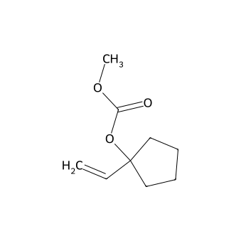 C=CC1(OC(=O)OC)CCCC1